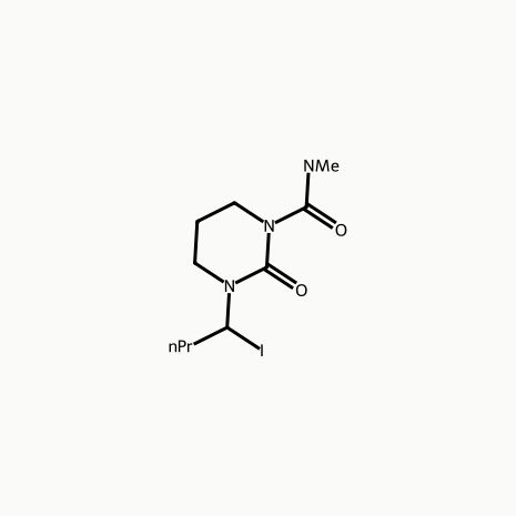 CCCC(I)N1CCCN(C(=O)NC)C1=O